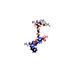 CCOC(=O)C(C)N(C)C(=O)CCOCCOCCNC(=O)C(CCC(=O)O)NC(=O)CCn1c(CN(C)NC)cc2cccnc21